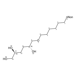 CCCCCCCCCCCCCCCOC[C@H](O)CC[C@H](O)CO